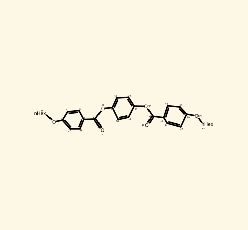 CCCCCCOc1ccc(C(=O)Oc2ccc(OC(=O)c3ccc(OCCCCCC)cc3)cc2)cc1